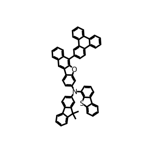 CC1(C)c2ccccc2-c2ccc(N(c3ccc4c(c3)oc3c(-c5ccc6c7ccccc7c7ccccc7c6c5)c5ccccc5cc34)c3cccc4c3sc3ccccc34)cc21